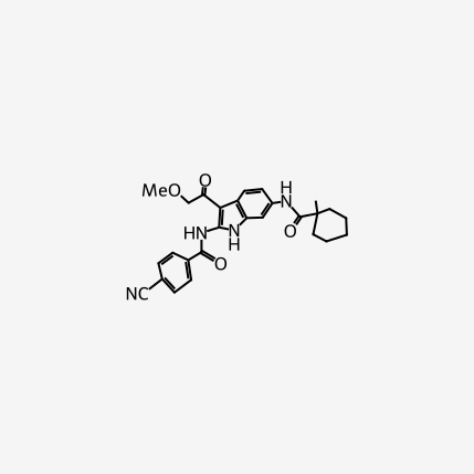 COCC(=O)c1c(NC(=O)c2ccc(C#N)cc2)[nH]c2cc(NC(=O)C3(C)CCCCC3)ccc12